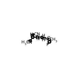 Cc1ccc(F)cc1C(=O)NCC1[C@H]2CN(c3ccc(-c4cc(-c5cnn(C)c5)cn5ncc(C#N)c45)cn3)C[C@@H]12